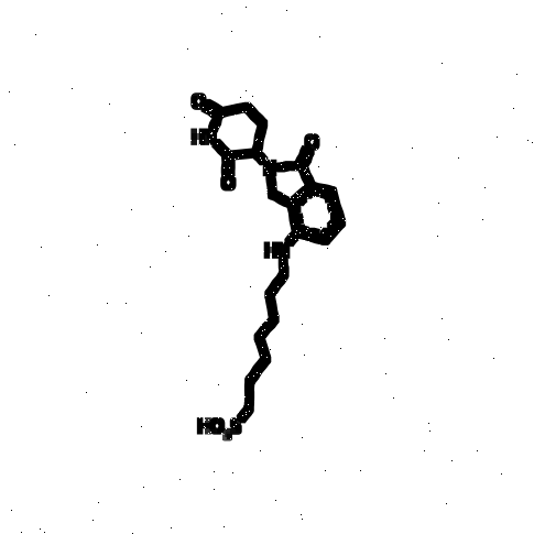 O=C1CCC(N2Cc3c(NCCCCCCCS(=O)(=O)O)cccc3C2=O)C(=O)N1